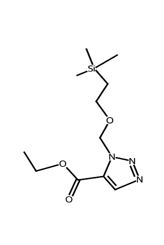 CCOC(=O)c1cnnn1COCC[Si](C)(C)C